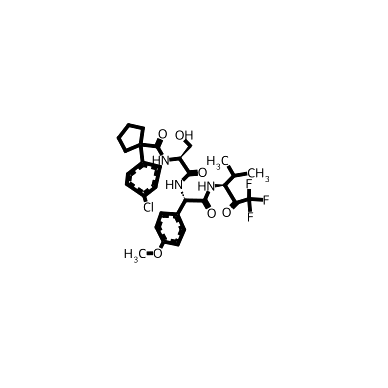 COc1ccc([C@H](NC(=O)[C@H](CO)NC(=O)C2(c3ccc(Cl)cc3)CCCC2)C(=O)N[C@H](C(=O)C(F)(F)F)C(C)C)cc1